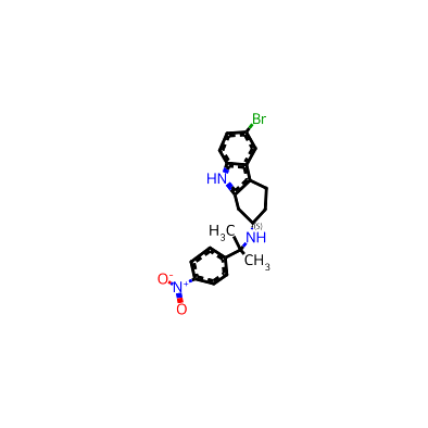 CC(C)(N[C@H]1CCc2c([nH]c3ccc(Br)cc23)C1)c1ccc([N+](=O)[O-])cc1